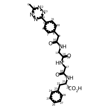 Cc1nnc(-c2ccc(CC(=O)NCC(=O)NCC(=O)N[C@@H](Cc3ccccc3)C(=O)O)cc2)nn1